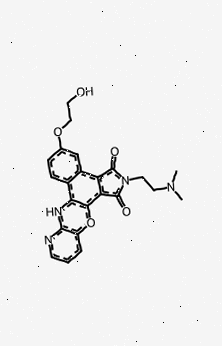 CN(C)CCn1c(=O)c2c3cc(OCCO)ccc3c3[nH]c4ncccc4oc3c2c1=O